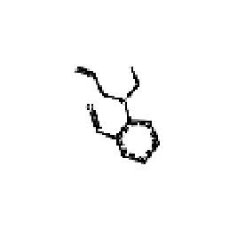 C=CCN(CC)c1ccccc1C=O